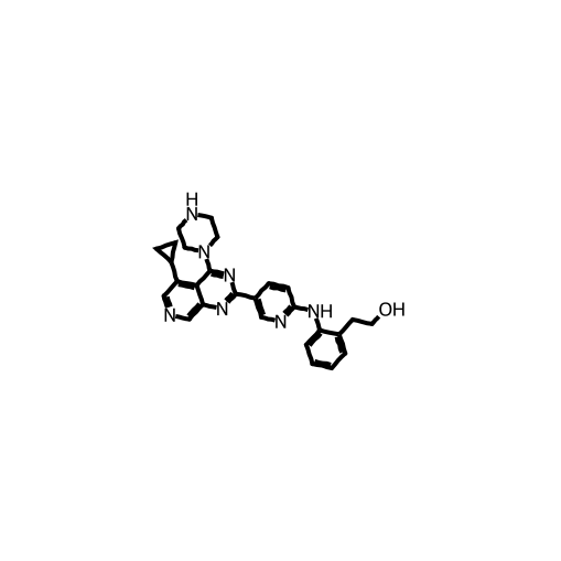 OCCc1ccccc1Nc1ccc(-c2nc(N3CCNCC3)c3c(C4CC4)cncc3n2)cn1